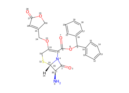 N[C@@H]1C(=O)N2C(C(=O)OC(c3ccccc3)c3ccccc3)=C(OCC3=CC(=O)OC3)CS[C@@H]12